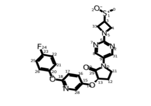 C[S+]([O-])C1CN(c2ncc(N3CC[C@@H](Oc4ccc(Oc5ccc(F)cc5)nc4)C3=O)cn2)C1